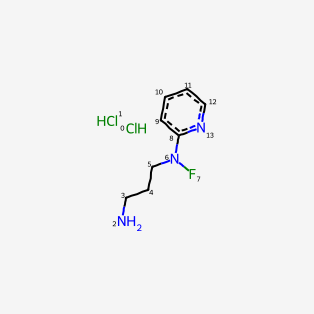 Cl.Cl.NCCCN(F)c1ccccn1